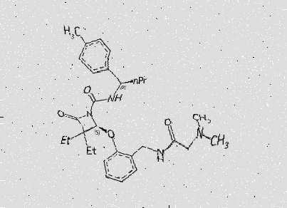 CCC[C@@H](NC(=O)N1C(=O)C(CC)(CC)[C@@H]1Oc1ccccc1CNC(=O)CN(C)C)c1ccc(C)cc1